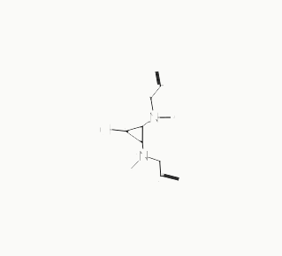 C=CCN(C)C1C(Cl)C1N(C)CC=C